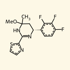 COC1(C)C[C@H](c2ccc(F)c(F)c2F)N=C(c2nccs2)N1